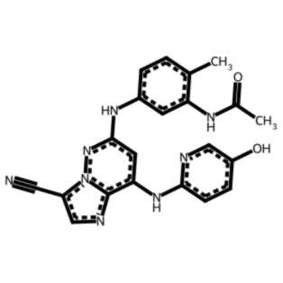 CC(=O)Nc1cc(Nc2cc(Nc3ccc(O)cn3)c3ncc(C#N)n3n2)ccc1C